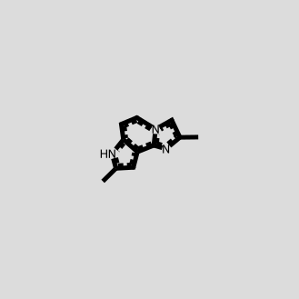 Cc1cn2ccc3[nH]c(C)cc3c2n1